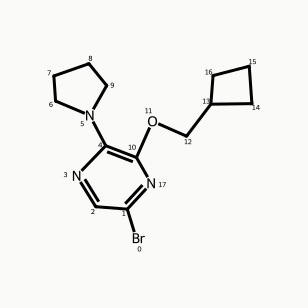 Brc1cnc(N2CCCC2)c(OCC2CCC2)n1